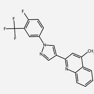 Cc1cc(-c2cnn(-c3ccc(F)c(C(F)(F)F)c3)c2)nc2ccccc12